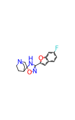 Fc1ccc2cc(C3=NO[C@]4(CN5CCC4CC5)N3)oc2c1